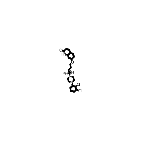 [2H]C([2H])(CCCOc1ccc2ccc(=O)[nH]c2c1)N1CCN(c2cccc(Cl)c2Cl)CC1